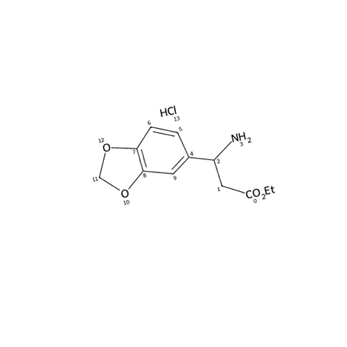 CCOC(=O)CC(N)c1ccc2c(c1)OCO2.Cl